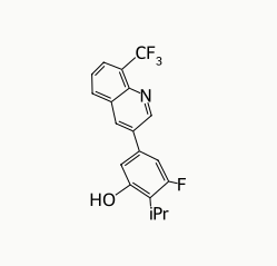 CC(C)c1c(O)cc(-c2cnc3c(C(F)(F)F)cccc3c2)cc1F